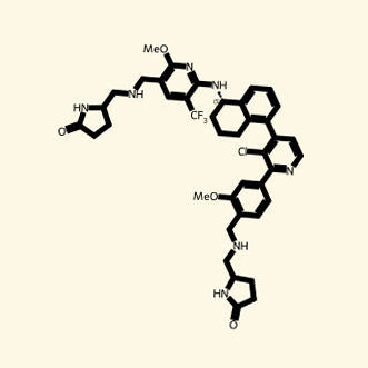 COc1cc(-c2nccc(-c3cccc4c3CCC[C@@H]4Nc3nc(OC)c(CNCC4CCC(=O)N4)cc3C(F)(F)F)c2Cl)ccc1CNCC1CCC(=O)N1